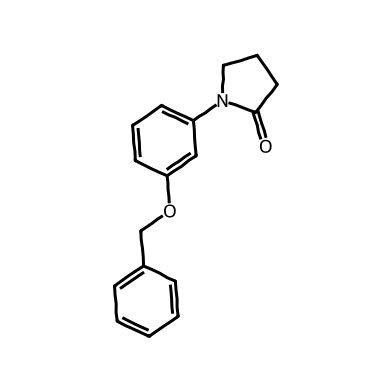 O=C1CCCN1c1cccc(OCc2ccccc2)c1